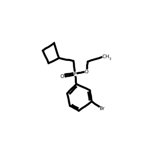 CCOP(=O)(CC1CCC1)c1cccc(Br)c1